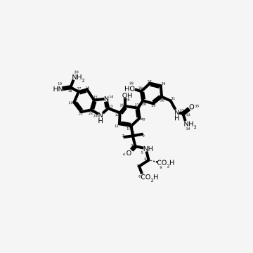 CC(C)(C(=O)N[C@@H](CC(=O)O)C(=O)O)c1cc(-c2nc3cc(C(=N)N)ccc3[nH]2)c(O)c(-c2cc(CNC(N)=O)ccc2O)c1